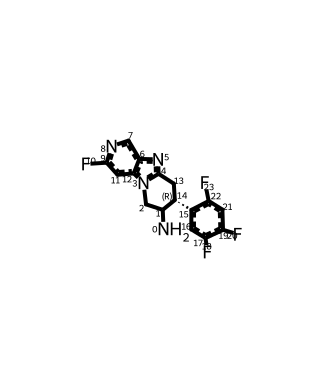 NC1Cn2c(nc3cnc(F)cc32)C[C@@H]1c1cc(F)c(F)cc1F